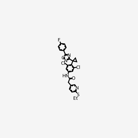 CCSc1ccc(CC(=O)Nc2cc(Cl)c(C3(c4noc(-c5ccc(F)cc5)n4)CC3)c(Cl)c2)cn1